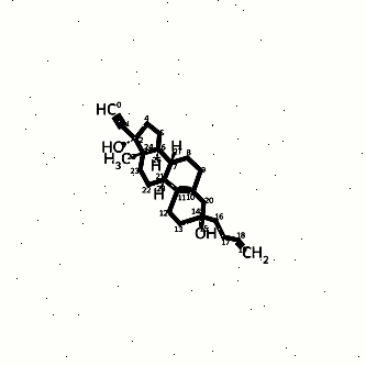 C#C[C@@]1(O)CC[C@H]2[C@@H]3CCC4=C(CCC(O)(CCC=C)C4)[C@H]3CC[C@@]21C